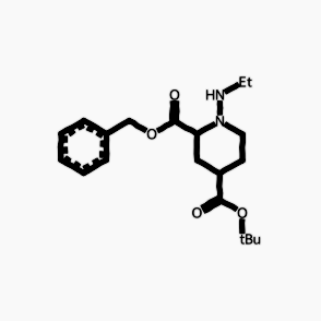 CCNN1CCC(C(=O)OC(C)(C)C)CC1C(=O)OCc1ccccc1